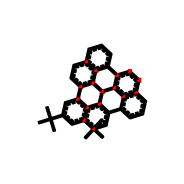 CC(C)(C)c1cc(-c2ccccc2N(c2ccccc2-c2ccccc2)c2ccccc2-c2cccc3cccc(C4CCCCC4)c23)cc(C(C)(C)C)c1